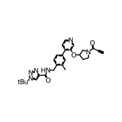 C#CC(=O)N1CCC(Oc2cnccc2-c2ccc(CNC(=O)c3cn(C(C)(C)C)nn3)c(C)c2)C1